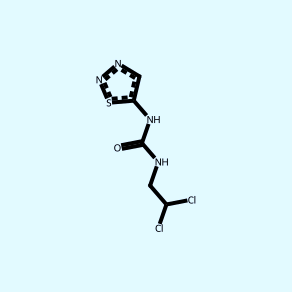 O=C(NCC(Cl)Cl)Nc1cnns1